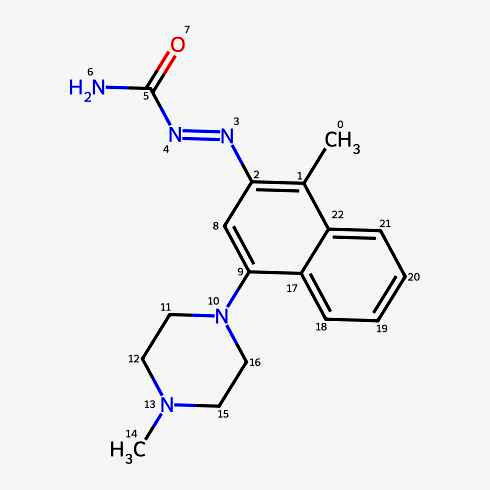 Cc1c(/N=N/C(N)=O)cc(N2CCN(C)CC2)c2ccccc12